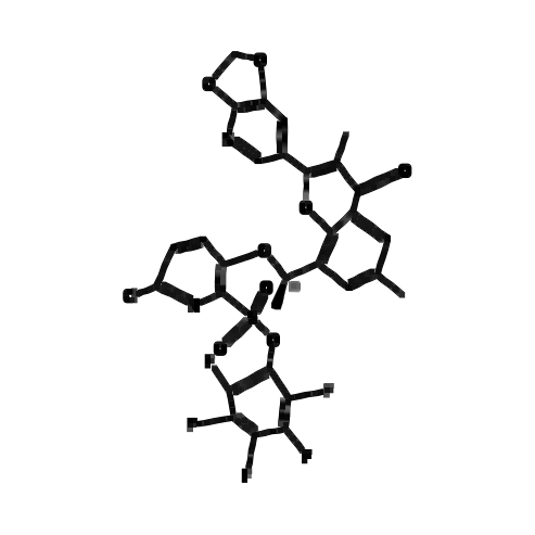 Cc1cc([C@@H](C)Oc2ccc(Cl)nc2S(=O)(=O)Oc2c(F)c(F)c(F)c(F)c2F)c2oc(-c3cnc4c(c3)OCO4)c(C)c(=O)c2c1